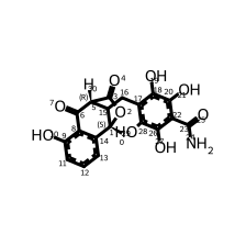 C[C@@]12OC(=O)[C@@H](C(=O)c3c(O)cccc31)C2Cc1c(O)c(O)c(C(N)=O)c(O)c1O